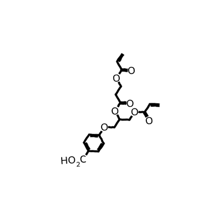 C=CC(=O)OCCC(=O)OC(COC(=O)C=C)COc1ccc(C(=O)O)cc1